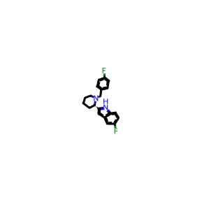 Fc1ccc(CN2CCCC[C@H]2c2cc3cc(F)ccc3[nH]2)cc1